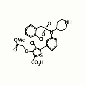 COC(=O)COc1c(C(=O)O)sc(-c2cccc(N(C3CCNCC3)S(=O)(=O)Cc3ccccc3Cl)c2)c1Cl